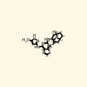 Cc1cc(Nc2nc(N[C@@H]3CCC4CC[C@@H](C3)N4CCC#N)nc3scnc23)n[nH]1